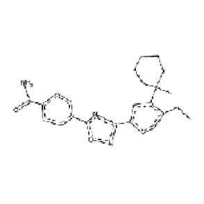 CCc1ccc(-c2noc(-c3ccc(C(N)=O)cc3)n2)cc1C1(C)CCCCC1